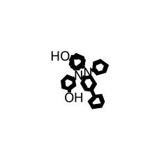 Oc1cccc(N(c2cccc(O)c2)C2(N(c3ccccc3)c3ccccc3)C=CC(c3ccccc3)=CC2)c1